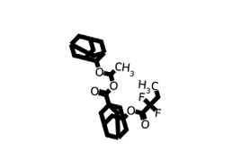 CCC(F)(F)C(=O)OC12CC3CC(C1)CC(C(=O)OC(C)OC1C4CC5CC(C4)CC1C5)(C3)C2